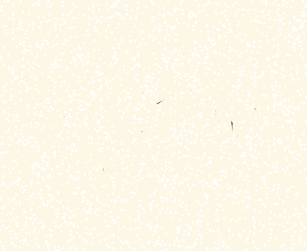 COc1cc(C(=O)O)cc(-c2ccc([C@H]3CC34CCN(C(=O)[C@H]3CCCO3)CC4)cc2)c1